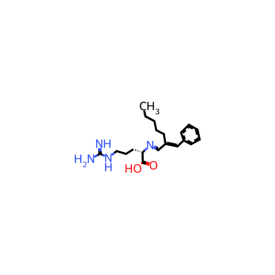 CCCCCC(/C=N/[C@@H](CCCNC(=N)N)C(=O)O)=C\c1ccccc1